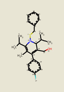 CC1=C(C(C)C)N(SCc2ccccc2)C(C(C)C)C(CO)=C1c1ccc(F)cc1